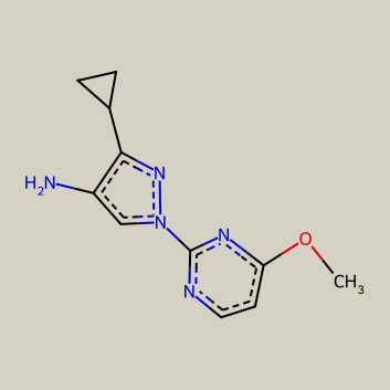 COc1ccnc(-n2cc(N)c(C3CC3)n2)n1